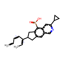 C=C/C=C\C(=C/C)C1Cc2cc3cnc(C4CC4)cc3c(S(=O)O)c2C1